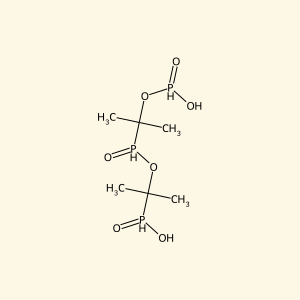 CC(C)(O[PH](=O)C(C)(C)O[PH](=O)O)[PH](=O)O